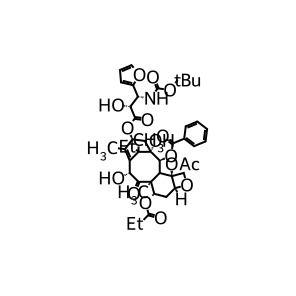 CCC(=O)O[C@H]1C[C@H]2OC[C@@]2(OC(C)=O)C2[C@H](OC(=O)c3ccccc3)[C@]3(O)C[C@H](OC(=O)[C@H](O)[C@@H](NC(=O)OC(C)(C)C)c4ccco4)C(C)=C([C@@H](O)C(=O)[C@@]21C)C3(C)CC